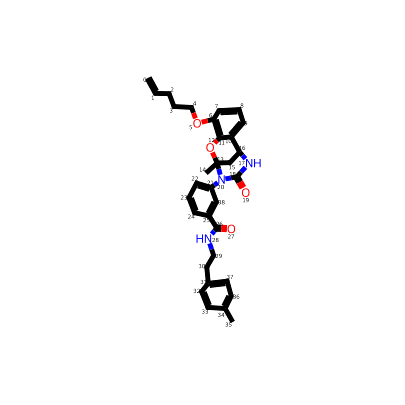 C=CCCCOc1cccc2c1OC1(C)CC2NC(=O)N1c1cccc(C(=O)NCCc2ccc(C)cc2)c1